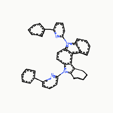 c1ccc(-c2cccc(-n3c4c(c5c6c7ccccc7n(-c7cccc(-c8ccccc8)n7)c6ccc53)CCCC4)n2)cc1